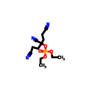 CCOP(=O)(OCC)OC(C#N)(CCC#N)CCC#N